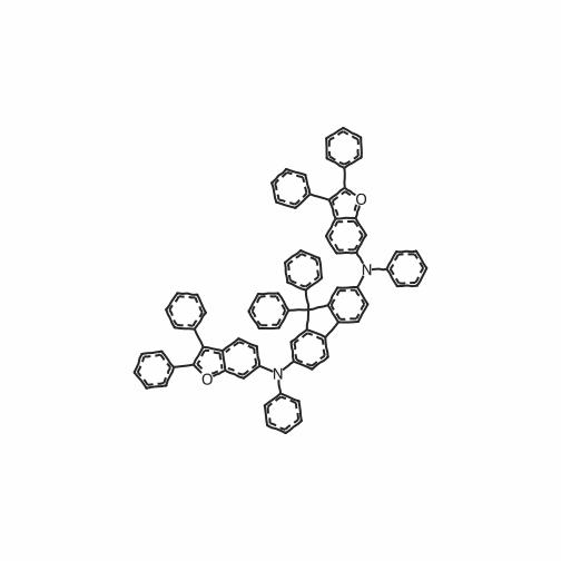 c1ccc(-c2oc3cc(N(c4ccccc4)c4ccc5c(c4)C(c4ccccc4)(c4ccccc4)c4cc(N(c6ccccc6)c6ccc7c(-c8ccccc8)c(-c8ccccc8)oc7c6)ccc4-5)ccc3c2-c2ccccc2)cc1